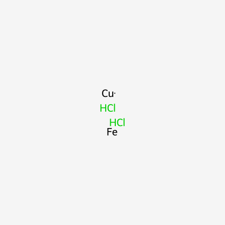 Cl.Cl.[Cu].[Fe]